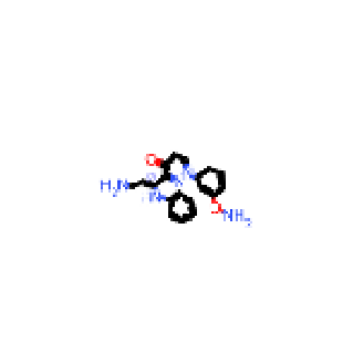 NC/C=C(\Nc1ccccc1)c1nn(C2C=C(ON)C=CC2)ccc1=O